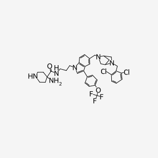 NC1(C(=O)NCCCn2cc(-c3ccc(OC(F)(F)F)cc3)c3cc(CN4CC5CC4CN5Cc4c(Cl)cccc4Cl)ccc32)CCNCC1